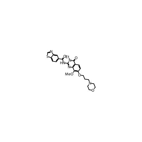 CCn1c(NC(=O)c2ccc3scnc3c2)nc2c(OC)c(OCCCN3CCOCC3)ccc2c1=O